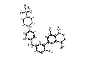 CC(=O)N1CCN(C(C)C)c2cc(-c3nc(Nc4ccc(N5CCN(S(C)(=O)=O)CC5)cn4)ncc3F)cc(F)c21